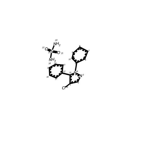 Clc1cnn(-c2ccccc2)c1-c1ccccc1.NS(N)(=O)=O